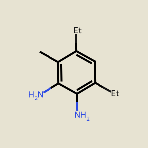 CCc1cc(CC)c(N)c(N)c1C